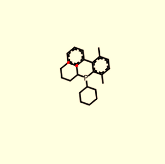 Cc1ccc(C)c(P(C2CCCCC2)C2CCCCC2)c1-c1ccccc1